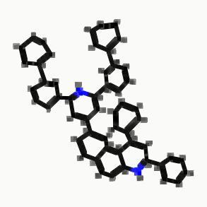 c1ccc(-c2cccc(-c3cc(-c4ccc5ccc6nc(-c7ccccc7)cc(-c7ccccc7)c6c5c4)cc(-c4cccc(-c5ccccc5)c4)n3)c2)cc1